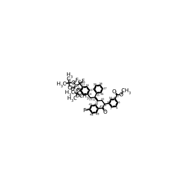 COC(=O)c1cccc(C(CC=C(Cc2ccc(C(F)(F)P(=O)(OC(C)(C)C)OC(C)(C)C)cc2)c2ccccc2)C(=O)c2ccc(F)cc2)c1